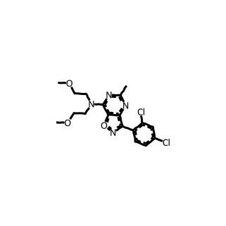 COCCN(CCOC)c1nc(C)nc2c(-c3ccc(Cl)cc3Cl)noc12